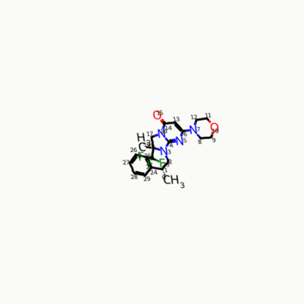 C[C@@H](CN1c2nc(N3CCOCC3)cc(=O)n2C[C@@]1(C)C(F)(F)F)c1ccccc1